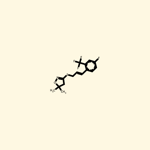 CC1(C)CC(SC/C=C/c2ccc(F)cc2C(F)(F)F)=NO1